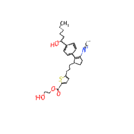 [C-]#[N+]C1=C(c2ccc(C(O)CCCCC)cc2)C(CCCc2ccc(C(=O)OCCO)s2)CC1